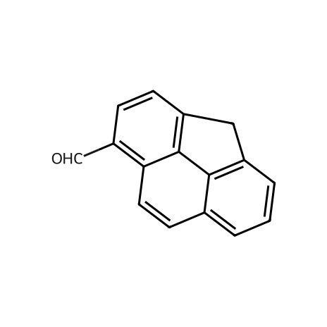 O=Cc1ccc2c3c1ccc1cccc(c13)C2